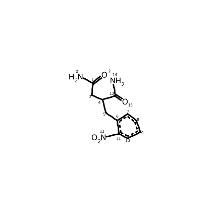 NC(=O)CC(Cc1ccccc1[N+](=O)[O-])C(N)=O